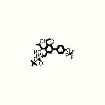 CC(O)C(O)c1c(CNC(=O)OC(C)(C)C)cc(-c2ccc(OC(F)(F)F)cc2)c2c1CCO2